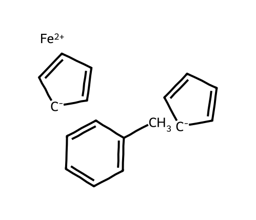 Cc1ccccc1.[Fe+2].c1cc[cH-]c1.c1cc[cH-]c1